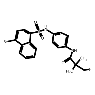 CC(C)(CF)C(=O)Nc1ccc(NS(=O)(=O)c2ccc(Br)c3ccccc23)cc1